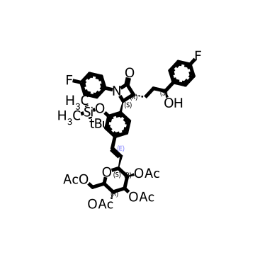 CC(=O)OCC1O[C@@H](/C=C/c2ccc([C@@H]3[C@@H](CC[C@H](O)c4ccc(F)cc4)C(=O)N3c3ccc(F)cc3)c(O[Si](C)(C)C(C)(C)C)c2)[C@@H](OC(C)=O)C(OC(C)=O)[C@@H]1OC(C)=O